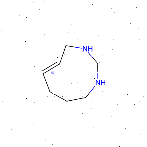 [C]1NC/C=C/CCCN1